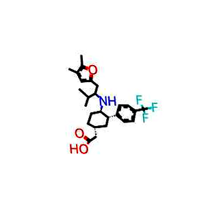 Cc1cc(CC(N[C@@H]2CC[C@@H](CC(=O)O)C[C@H]2c2ccc(C(F)(F)F)cc2)C(C)C)oc1C